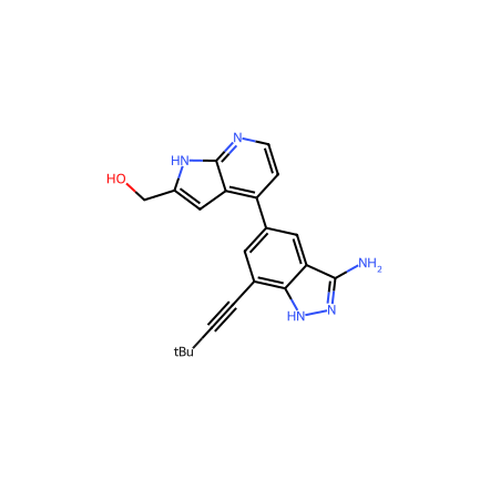 CC(C)(C)C#Cc1cc(-c2ccnc3[nH]c(CO)cc23)cc2c(N)n[nH]c12